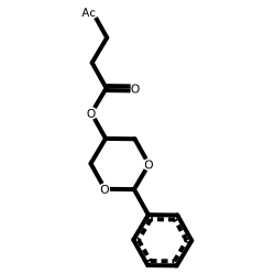 CC(=O)CCC(=O)OC1COC(c2ccccc2)OC1